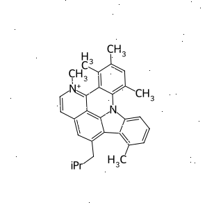 Cc1cc(C)c2c(c1C)c1c3c(cc[n+]1C)cc(CC(C)C)c1c4c(C)cccc4n2c13